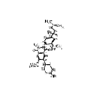 COc1cc2c(=O)n(C)nc(N[C@H](C)c3cccc(C(F)(F)CCN(C)C)c3)c2cc1C1CCN(C(C)C)CC1